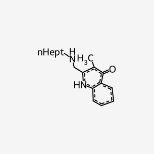 CCCCCCCNCc1[nH]c2ccccc2c(=O)c1C